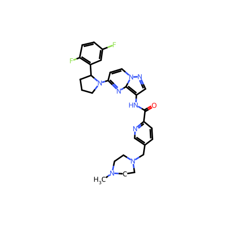 CN1CCN(Cc2ccc(C(=O)Nc3cnn4ccc(N5CCCC5c5cc(F)ccc5F)nc34)nc2)CC1